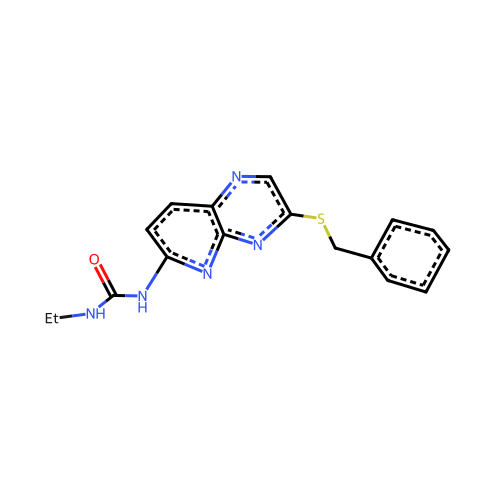 CCNC(=O)Nc1ccc2ncc(SCc3ccccc3)nc2n1